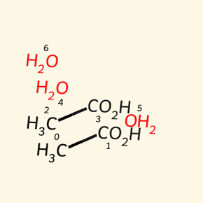 CC(=O)O.CC(=O)O.O.O.O